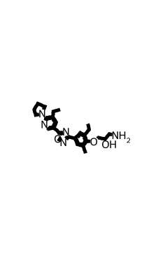 CCc1cc(-c2nc(-c3cc(C)c(OC[C@@H](O)CN)c(CC)c3)no2)cnc1N1CCCC1